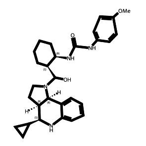 COc1ccc(NC(=O)N[C@@H]2CCCC[C@@H]2C(O)N2CC[C@@H]3[C@H](C4CC4)Nc4ccccc4[C@@H]32)cc1